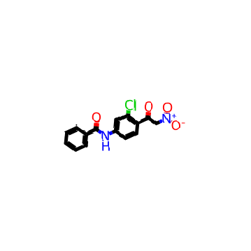 O=C(Nc1ccc(C(=O)C[N+](=O)[O-])c(Cl)c1)c1[c]cccc1